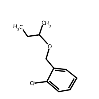 CCC(C)OCc1ccccc1Cl